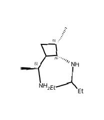 CCC(CC)N[C@@H]1C([C@H](C)N)C[C@@H]1C